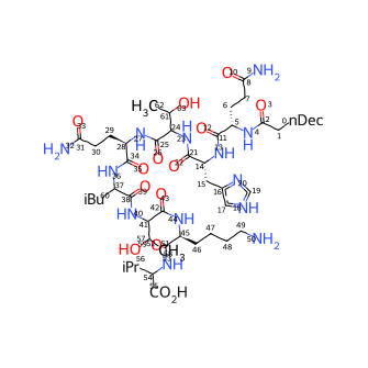 CCCCCCCCCCCC(=O)N[C@@H](CCC(N)=O)C(=O)N[C@H](Cc1c[nH]cn1)C(=O)NC(C(=O)N[C@H](CCC(N)=O)C(=O)NC(C(=O)NC(C(=O)N[C@@H](CCCCN)C(=O)NC(C(=O)O)C(C)C)C(C)O)C(C)CC)C(C)O